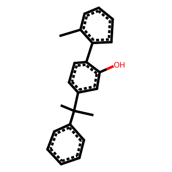 Cc1ccccc1-c1ccc(C(C)(C)c2ccccc2)cc1O